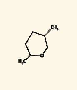 CC1CC[C@H](C)CO1